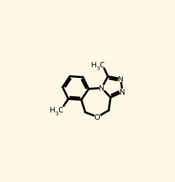 Cc1cccc2c1COCc1nnc(C)n1-2